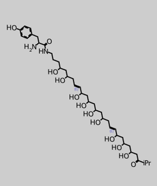 CC(C)C(=O)CC(O)CC(O)CC(O)/C=C/CC(O)CC(O)CC(O)CC(O)/C=C/CC(O)CC(O)CCCNC(=O)C(N)Cc1ccc(O)cc1